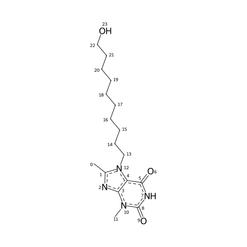 Cc1nc2c(c(=O)[nH]c(=O)n2C)n1CCCCCCCCCCO